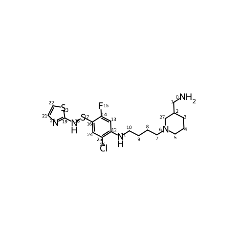 NCC1CCCN(CCCCNc2cc(F)c(SNc3nccs3)cc2Cl)C1